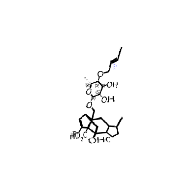 C/C=C/CO[C@H]1[C@@H](O)[C@H](O)[C@H](OCC23CC4C(C)CCC4C4(C=O)CC2C=C(C(C)C)C43C(=O)O)O[C@@H]1C